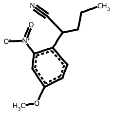 CCCC(C#N)c1ccc(OC)cc1[N+](=O)[O-]